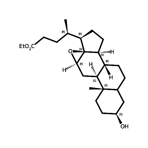 CCOC(=O)CC[C@@H](C)[C@H]1CC[C@H]2[C@@H]3CCC4C[C@@H](O)CC[C@]4(C)[C@H]3C[C@H]3O[C@]132